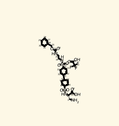 NC[C@H](NS(=O)(=O)c1ccc(-c2ccc(S(=O)(=O)NCCNC(=O)OCc3ccccc3)cc2)cc1)C(=O)O.O=C(O)C(F)(F)F